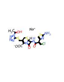 CC(O)n1nnnc1SCC1=C(C(=O)[O-])N2C(=O)C(NC(=O)/C(=C/Cl)c3csc(N)n3)[C@H]2SC1.[Na+]